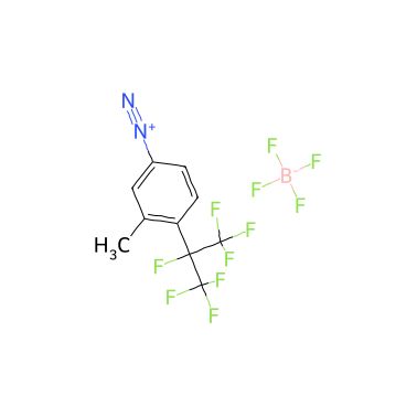 Cc1cc([N+]#N)ccc1C(F)(C(F)(F)F)C(F)(F)F.F[B-](F)(F)F